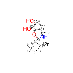 CC(NC(=O)C1CC(C)(C)CCC1C(C)C)c1ccc(O)c(O)c1